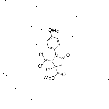 COC(=O)C1(Cl)CC(=O)N(c2ccc(OC)cc2)C1=C(Cl)Cl